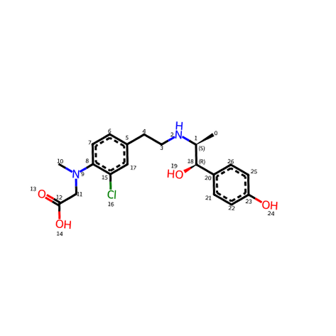 C[C@H](NCCc1ccc(N(C)CC(=O)O)c(Cl)c1)[C@H](O)c1ccc(O)cc1